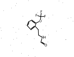 O=CNCCc1ccccc1OC(F)(F)F